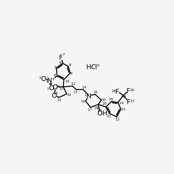 Cl.O=[N+]([O-])c1cc(F)ccc1C1(CCCN2CCC(O)(c3cccc(C(F)(F)F)c3)CC2)CCOO1